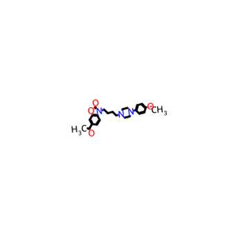 COc1ccc(N2CCN(CCCCn3c(=O)oc4cc(C(C)=O)ccc43)CC2)cc1